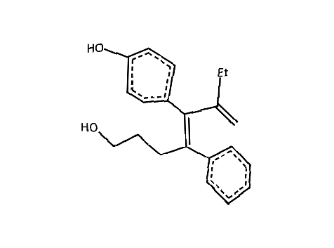 C=C(CC)/C(=C(/CCCO)c1ccccc1)c1ccc(O)cc1